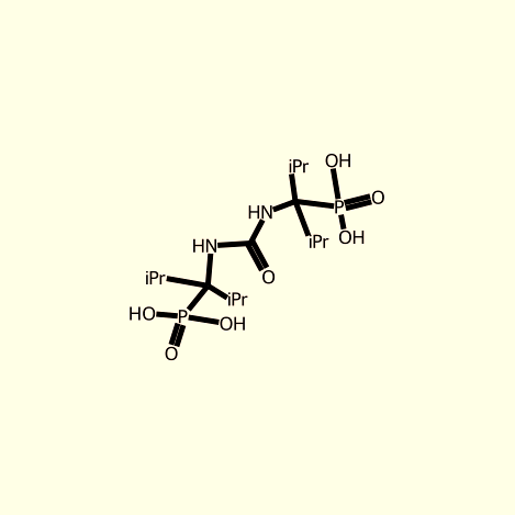 CC(C)C(NC(=O)NC(C(C)C)(C(C)C)P(=O)(O)O)(C(C)C)P(=O)(O)O